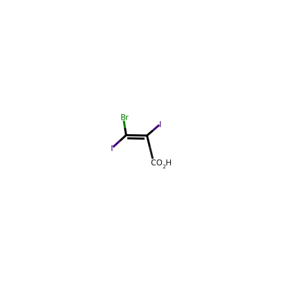 O=C(O)/C(I)=C(/Br)I